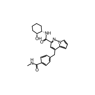 CNC(=O)c1ccc(Cc2cc(C(=O)N[C@H]3CCCC[C@@H]3O)nn3cccc23)cc1